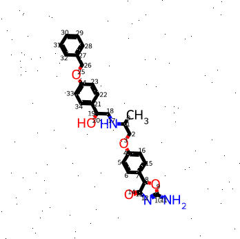 CC(COc1ccc(C2OC(N)=NC2=O)cc1)NCC(O)c1ccc(OCc2ccccc2)cc1